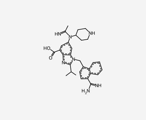 CC(=N)N(c1cc(C(=O)O)c2nc(C(C)C)n(Cc3ccc(C(=N)N)c4ccccc34)c2c1)C1CCNCC1